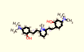 CC[n+]1c(/C=C/c2ccc(N(C)C)cc2O)cccc1/C=C/c1ccc(N(C)C)cc1O